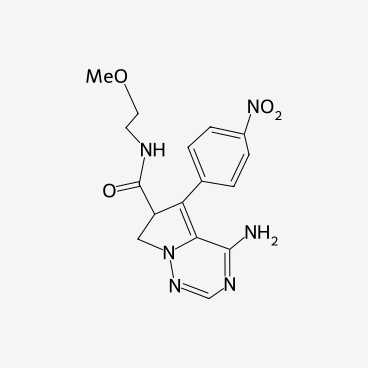 COCCNC(=O)C1CN2N=CN=C(N)C2=C1c1ccc([N+](=O)[O-])cc1